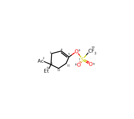 CCC1(C(C)=O)CC=C(OS(=O)(=O)C(F)(F)F)CC1